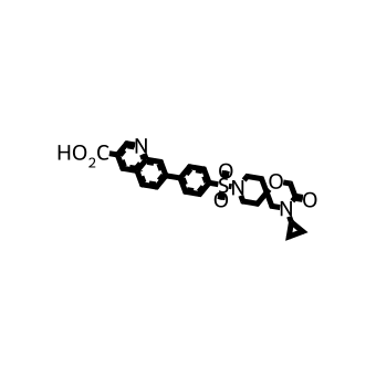 O=C(O)c1cnc2cc(-c3ccc(S(=O)(=O)N4CCC5(CC4)CN(C4CC4)C(=O)CO5)cc3)ccc2c1